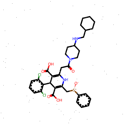 O=C(O)C1=C(CC(=O)N2CCC(NCC3CCCCC3)CC2)NC(C[S@+]([O-])c2ccccc2)=C(C(=O)O)C1c1c(Cl)cccc1Cl